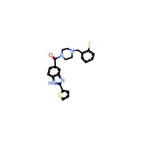 O=C(c1ccc2[nH]c(-c3cccs3)nc2c1)N1CCN(Cc2ccccc2F)CC1